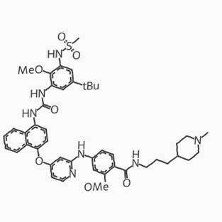 COc1cc(Nc2cc(Oc3ccc(NC(=O)Nc4cc(C(C)(C)C)cc(NS(C)(=O)=O)c4OC)c4ccccc34)ccn2)ccc1C(=O)NCCCC1CCN(C)CC1